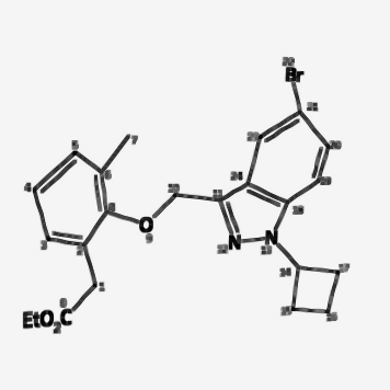 CCOC(=O)Cc1cccc(C)c1OCc1nn(C2CCC2)c2ccc(Br)cc12